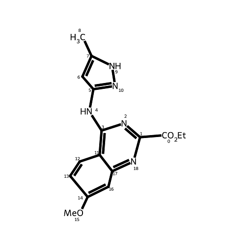 CCOC(=O)c1nc(Nc2cc(C)[nH]n2)c2ccc(OC)cc2n1